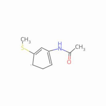 CSC1=CC(NC(C)=O)=CC[CH]1